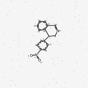 O=[N+]([O-])c1ccc(C2CN=Cc3ccccc32)cc1